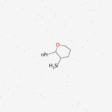 [CH2]CCC1OCCCC1[SiH3]